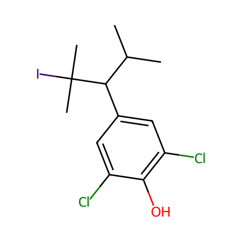 CC(C)C(c1cc(Cl)c(O)c(Cl)c1)C(C)(C)I